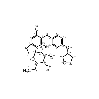 CC[C@H]1O[C@]2(CCc3cc(Cl)c(Cc4ccc(O[C@H]5CCOC5)cc4)cc32)[C@H](O)[C@@H](O)[C@@H]1O